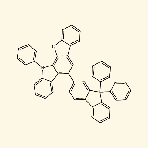 c1ccc(-n2c3ccccc3c3c(-c4ccc5c(c4)C(c4ccccc4)(c4ccccc4)c4ccccc4-5)cc4c5ccccc5oc4c32)cc1